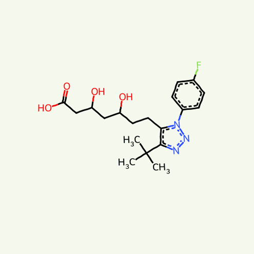 CC(C)(C)c1nnn(-c2ccc(F)cc2)c1CCC(O)CC(O)CC(=O)O